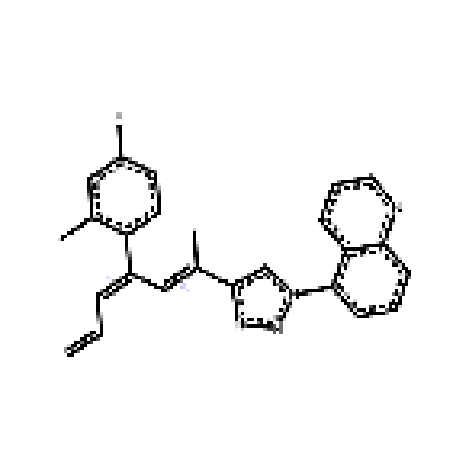 C=C/C=C(\C=C(/C)c1cn(-c2cccc3ncccc23)nn1)c1ccc(F)cc1C